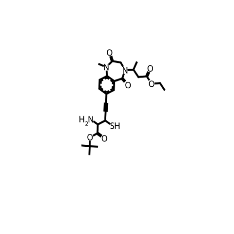 CCOC(=O)CC(C)N1CC(=O)N(C)c2ccc(C#CC(S)C(N)C(=O)OC(C)(C)C)cc2C1=O